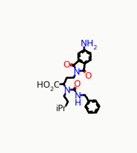 CC(C)CCN(C(=O)NCc1ccccc1)C(CCN1C(=O)c2ccc(N)cc2C1=O)C(=O)O